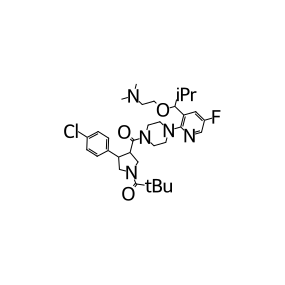 CC(C)C(OCCN(C)C)c1cc(F)cnc1N1CCN(C(=O)C2CN(C(=O)C(C)(C)C)CC2c2ccc(Cl)cc2)CC1